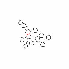 c1ccc(C2(c3ccccc3)c3ccccc3-c3ccc(N(c4ccc(-c5ccccc5-n5c6ccccc6c6ccccc65)cc4)c4ccccc4-c4cccc5c4oc4cc6ccccc6cc45)cc32)cc1